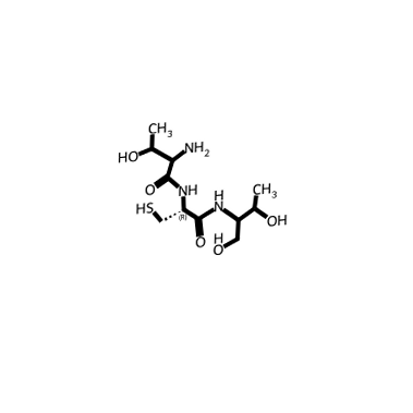 CC(O)C(CO)NC(=O)[C@H](CS)NC(=O)C(N)C(C)O